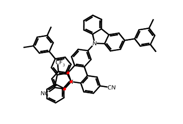 Cc1cc(C)cc(-c2ccc3c(c2)c2ccccc2n3-c2ccc(-c3ccc(C#N)cc3C(F)(F)F)c(-c3cc(C#N)ccc3-n3c4ccccc4c4cc(-c5cc(C)cc(C)c5)ccc43)c2)c1